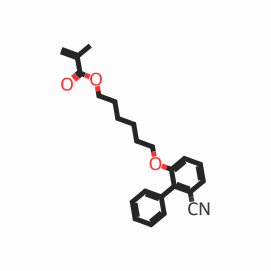 C=C(C)C(=O)OCCCCCCOc1cccc(C#N)c1-c1ccccc1